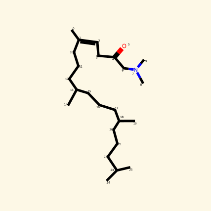 CC(=C[CH]C(=O)CN(C)C)CCCC(C)CCCC(C)CCCC(C)C